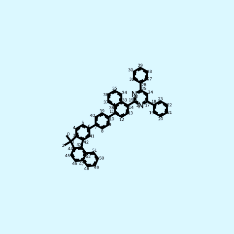 CC1(C)c2ccc(-c3ccc(-c4ccc(-c5nc(-c6ccccc6)cc(-c6ccccc6)n5)c5ccccc45)cc3)cc2-c2c1ccc1ccccc21